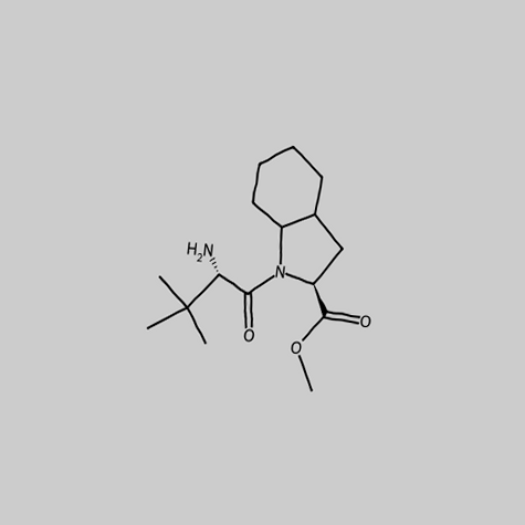 COC(=O)[C@@H]1CC2CCCCC2N1C(=O)[C@@H](N)C(C)(C)C